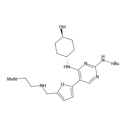 CCCCNc1ncc(-c2ccc(CNCCNC)o2)c(N[C@H]2CC[C@H](O)CC2)n1